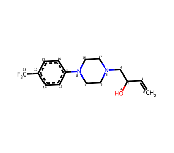 C=CC(O)CN1CCN(c2ccc(C(F)(F)F)cc2)CC1